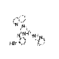 Br.c1cnc(CNCCCCN(Cc2nc3ccccc3[nH]2)C2CCCc3cccnc32)nc1